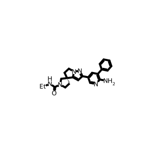 CCNC(=O)N1CC[C@@]2(CCn3nc(-c4cnc(N)c(-c5ccccc5)c4)cc32)C1